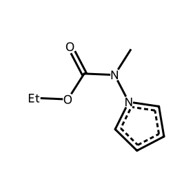 CCOC(=O)N(C)n1cccc1